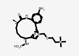 C[C@@H]1CCC[C@H](NC(=O)O)c2cn(COCC[Si](C)(C)C)c(n2)-c2ccc(N)cc2NC1=O